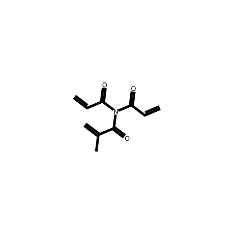 C=CC(=O)N(C(=O)C=C)C(=O)C(=C)C